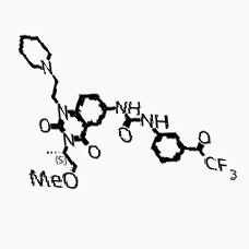 COC[C@H](C)n1c(=O)c2cc(NC(=O)Nc3cccc(C(=O)C(F)(F)F)c3)ccc2n(CCN2CCCCC2)c1=O